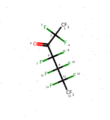 O=C(C(F)(F)C(F)(F)F)C(F)(F)C(F)(F)C(F)(F)C(F)(F)F